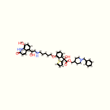 O=C(OCC1CCN(Cc2ccccc2)CC1)C(O)(c1cccc(OCCCCCNC[C@H](O)c2ccc(O)c3[nH]c(=O)ccc23)c1)c1cccs1